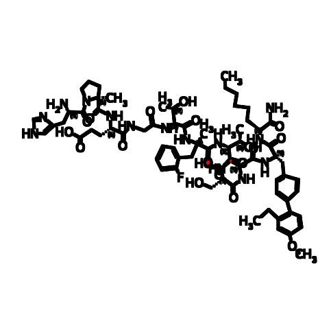 CCCCCC[C@H](NC(=O)[C@H](Cc1ccc(-c2ccc(OC)cc2CC)cc1)NC(=O)[C@H](CC(=O)O)NC(=O)[C@H](CO)NC(=O)[C@@H](NC(=O)[C@](C)(Cc1ccccc1F)NC(=O)[C@@H](NC(=O)CNC(=O)[C@H](CCC(=O)O)NC(=O)[C@]1(C)CCCN1C(=O)[C@@H](N)Cc1c[nH]cn1)[C@@H](C)O)[C@@H](C)O)C(N)=O